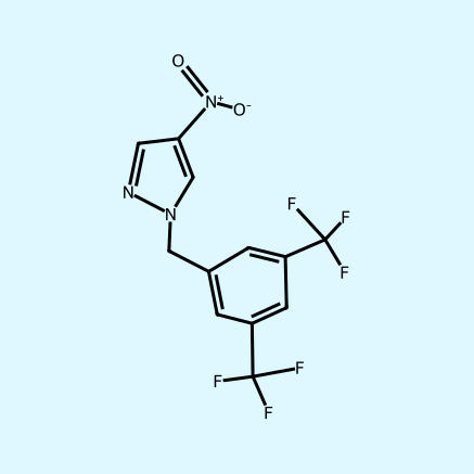 O=[N+]([O-])c1cnn(Cc2cc(C(F)(F)F)cc(C(F)(F)F)c2)c1